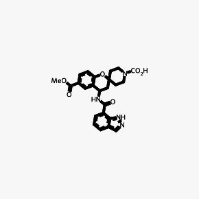 COC(=O)c1ccc2c(c1)C(NC(=O)c1cccc3cn[nH]c13)CC1(CCN(C(=O)O)CC1)O2